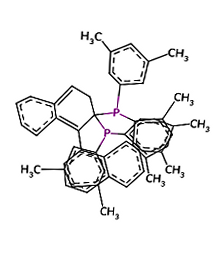 Cc1cc(C)cc(P(c2cc(C)cc(C)c2)C2(P(c3cc(C)cc(C)c3)c3cc(C)cc(C)c3)CC=c3ccccc3=C2c2cccc3ccccc23)c1